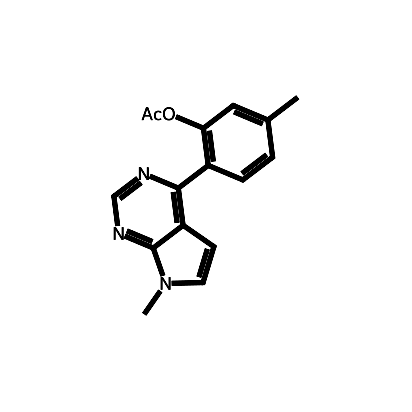 CC(=O)Oc1cc(C)ccc1-c1ncnc2c1ccn2C